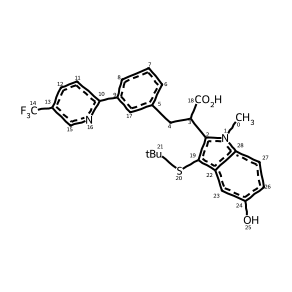 Cn1c(C(Cc2cccc(-c3ccc(C(F)(F)F)cn3)c2)C(=O)O)c(SC(C)(C)C)c2cc(O)ccc21